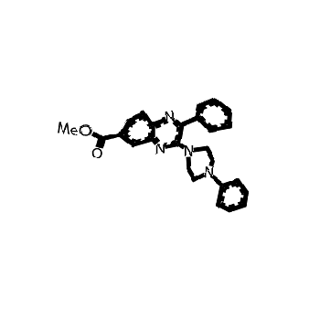 COC(=O)c1ccc2nc(-c3ccccc3)c(N3CCN(c4ccccc4)CC3)nc2c1